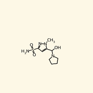 Cn1nc(S(N)(=O)=O)cc1C(O)N1CCCC1